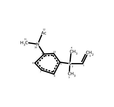 C=CS(C)(C)c1cccc(N(C)C(C)=O)c1